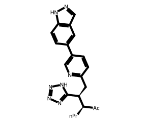 CCC[C@H](C(C)=O)[C@H](Cc1ccc(-c2ccc3[nH]ncc3c2)cn1)c1nnn[nH]1